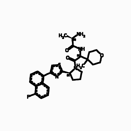 C[C@H](N)C(=O)N[C@H](C(=O)N1CCC[C@H]1c1nc(-c2cccc3c(F)cccc23)cs1)C1(C)CCOCC1